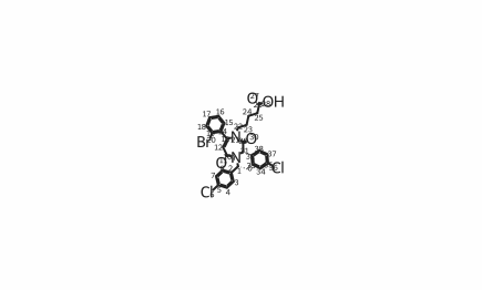 C[C@H](c1ccc(Cl)cc1)N1C(=O)C=C(c2ccccc2Br)N(CCCCC(=O)O)C(=O)[C@@H]1c1ccc(Cl)cc1